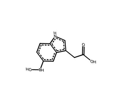 O=C(O)Cc1c[nH]c2ccc(BO)cc12